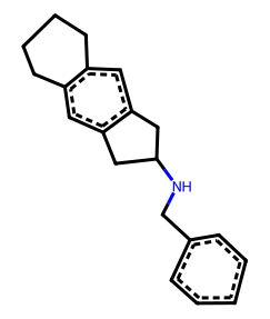 c1ccc(CNC2Cc3cc4c(cc3C2)CCCC4)cc1